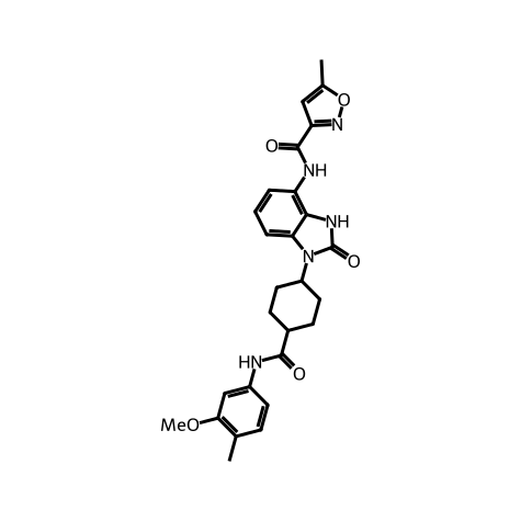 COc1cc(NC(=O)C2CCC(n3c(=O)[nH]c4c(NC(=O)c5cc(C)on5)cccc43)CC2)ccc1C